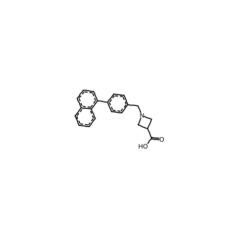 O=C(O)C1CN(Cc2ccc(-c3cccc4ccccc34)cc2)C1